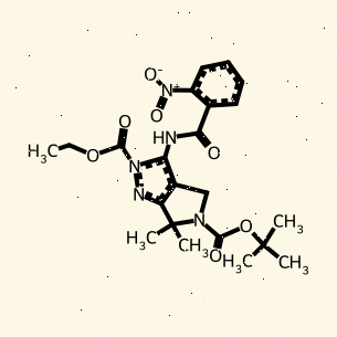 CCOC(=O)n1nc2c(c1NC(=O)c1ccccc1[N+](=O)[O-])CN(C(=O)OC(C)(C)C)C2(C)C